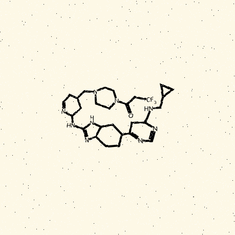 O=C(CC(F)(F)F)N1CCN(CC2CC=NC(NC3=NC4CCC(C5=NC=NC(NCC6CC6)C5)CC4N3)C2)CC1